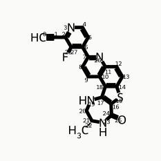 C#Cc1nccc(-c2ccc3c(ccc4sc5c(c43)NC[C@@H](C)NC5=O)n2)c1F